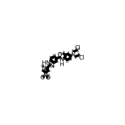 Cc1cc(N(CCCl)CCCl)ccc1NC(=O)c1ccc2[nH]c(-c3cc([N+](=O)[O-])cn3C)nc2c1